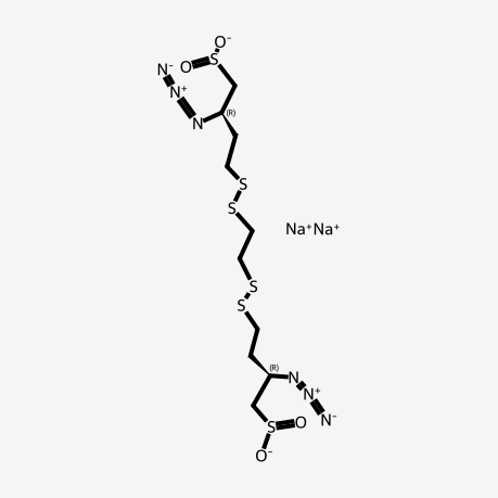 [N-]=[N+]=N[C@H](CCSSCCSSCC[C@H](CS(=O)[O-])N=[N+]=[N-])CS(=O)[O-].[Na+].[Na+]